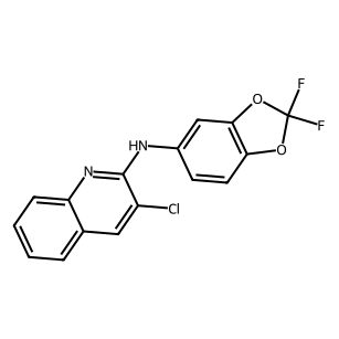 FC1(F)Oc2ccc(Nc3nc4ccccc4cc3Cl)cc2O1